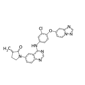 C=C1CCN(c2ccc3ncnc(Nc4ccc(Oc5ccn6ncnc6c5)c(Cl)c4)c3c2)C1=O